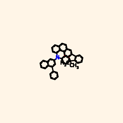 CC1(C)c2ccccc2-c2cc3ccc4cccc(N(c5ccccc5)c5cc(-c6ccccc6)c6ccccc6c5)c4c3cc21